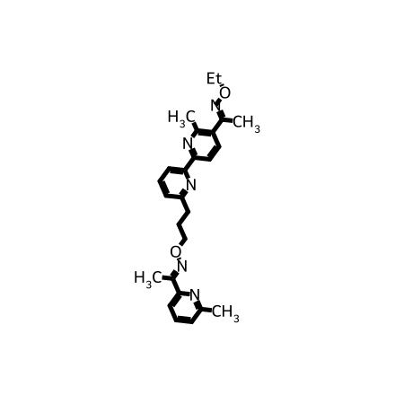 CCON=C(C)c1ccc(-c2cccc(CCCO/N=C(\C)c3cccc(C)n3)n2)nc1C